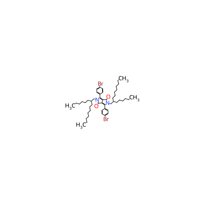 CCCCCCCCC(CCCCCC)CN1C(=O)C2=C(c3ccc(Br)cc3)N(CC(CCCCCC)CCCCCCCC)C(=O)C2=C1c1ccc(Br)cc1